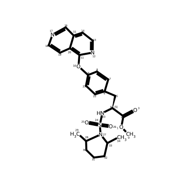 COC(=O)[C@H](Cc1ccc(Oc2nccc3cnccc23)cc1)NS(=O)(=O)N1C(C)CCCC1C